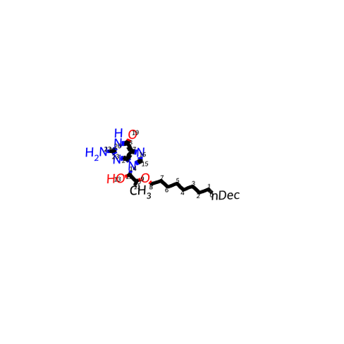 CCCCCCCCCCCCCCCCCCOC(C)C(O)n1cnc2c(=O)[nH]c(N)nc21